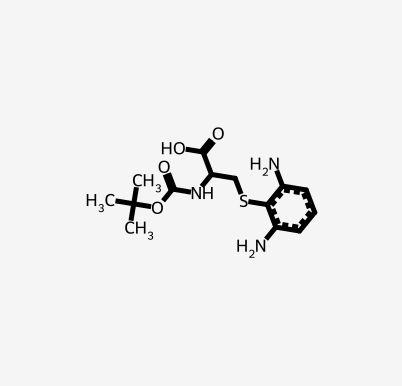 CC(C)(C)OC(=O)NC(CSc1c(N)cccc1N)C(=O)O